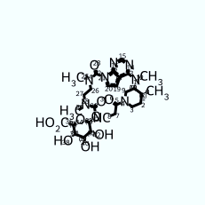 C[C@@H]1CCN(C(=O)CC#N)C[C@@H]1N(C)c1ncnc2c1ccn2C(=O)N(C)CCN(C)C(=O)O[C@@H]1O[C@H](C(=O)O)[C@@H](O)[C@H](O)[C@H]1O